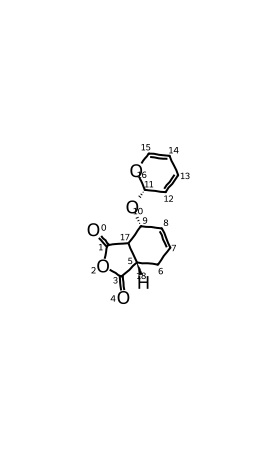 O=C1OC(=O)[C@H]2CC=C[C@@H](O[C@H]3C=CC=CO3)C12